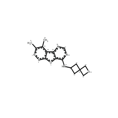 Cc1nnc2oc3c(NC4CC5(COC5)C4)ncnc3c2c1C